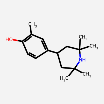 Cc1cc(C2CC(C)(C)NC(C)(C)C2)ccc1O